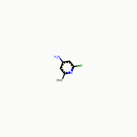 Nc1cc(Br)nc(C=O)c1